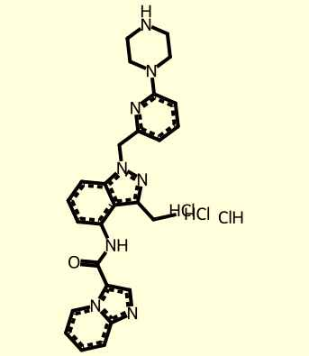 CCc1nn(Cc2cccc(N3CCNCC3)n2)c2cccc(NC(=O)c3cnc4ccccn34)c12.Cl.Cl.Cl